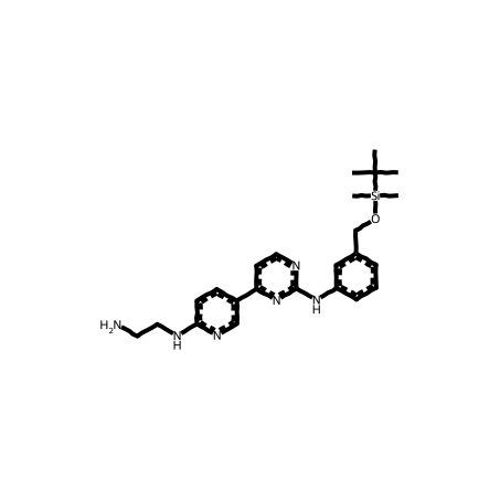 CC(C)(C)[Si](C)(C)OCc1cccc(Nc2nccc(-c3ccc(NCCN)nc3)n2)c1